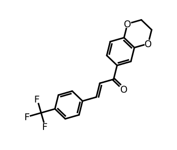 O=C(C=Cc1ccc(C(F)(F)F)cc1)c1ccc2c(c1)OCCO2